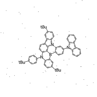 CC(C)(C)c1ccc(N2c3ccc(C(C)(C)C)cc3B3c4ccc(-n5c6ccccc6c6ccccc65)cc4-n4c5ccc(C(C)(C)C)cc5c5ccc2c3c54)cc1